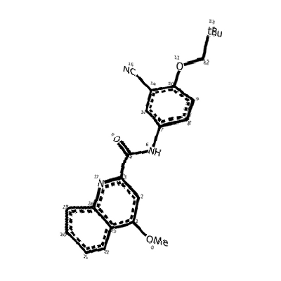 COc1cc(C(=O)Nc2ccc(OCC(C)(C)C)c(C#N)c2)nc2ccccc12